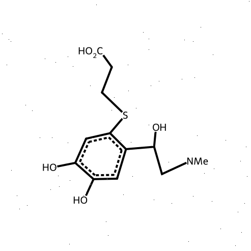 CNCC(O)c1cc(O)c(O)cc1SCCC(=O)O